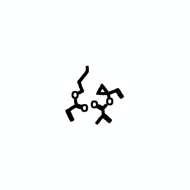 C=CC(=O)OCCCC.C=CC1(OC(=O)C(=C)C)CC1